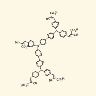 N#C/C(=C/c1ccc(C(c2ccc(/C=C(\C#N)C(=O)O)cc2)c2ccc(-c3ccc(N(c4ccc(/C=C(/C#N)C(=O)O)cc4)c4ccc(-c5ccc(C(c6ccc(/C=C(\C#N)C(=O)O)cc6)c6ccc(/C=C(\C#N)C(=O)O)cc6)cc5)cc4)cc3)cc2)cc1)C(=O)O